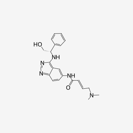 CN(C)C/C=C/C(=O)Nc1ccc2ncnc(N[C@H](CO)c3ccccc3)c2c1